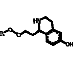 CCOOCCC1NCCc2cc(O)ccc21